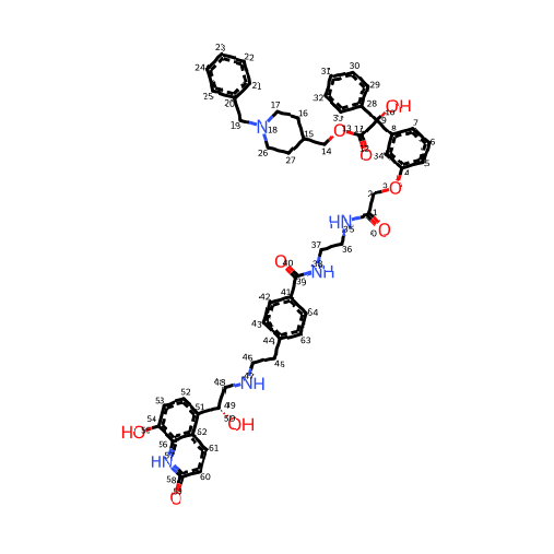 O=C(COc1cccc(C(O)(C(=O)OCC2CCN(Cc3ccccc3)CC2)c2ccccc2)c1)NCCNC(=O)c1ccc(CCNC[C@H](O)c2ccc(O)c3[nH]c(=O)ccc23)cc1